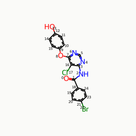 O=C(Nc1ncnc(Oc2ccc(O)cc2)c1Cl)c1ccc(Br)cc1